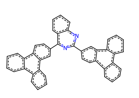 c1ccc2c(-c3ccc4c5ccccc5c5ccccc5c4c3)nc(-c3ccc4c5ccccc5c5ccccc5c4c3)nc2c1